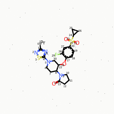 CC(C)c1nsc(N2CCC(N3CCCC3=O)C(Oc3ccc(S(=O)(=O)C4CC4)cc3F)C2)n1